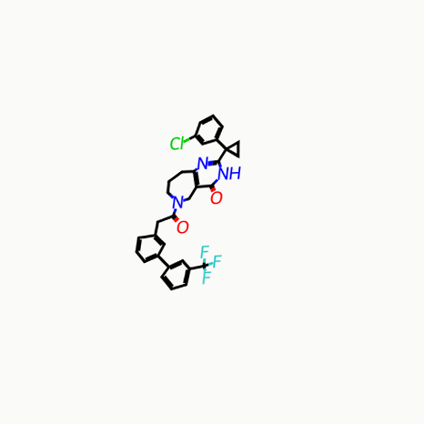 O=C(Cc1cccc(-c2cccc(C(F)(F)F)c2)c1)N1CCCc2nc(C3(c4cccc(Cl)c4)CC3)[nH]c(=O)c2C1